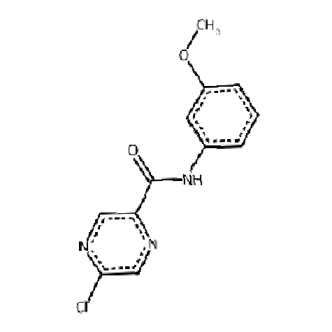 COc1cccc(NC(=O)c2cnc(Cl)cn2)c1